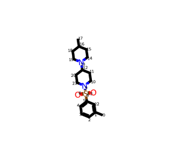 Cc1cccc(S(=O)(=O)N2CCC(N3CCC(C)CC3)CC2)c1